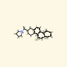 [CH2]C(C1CCc2c(ccc3c2c(F)cc2ccccc23)C1)N1CCCC1